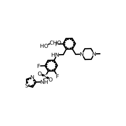 CN1CCN(Cc2cccc(F)c2CNc2cc(F)c(S(=O)(=O)Nc3cscn3)c(F)c2)CC1.O=CO